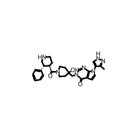 Cc1n[nH]cc1-n1ccc2c(=O)n(CC3(O)CCN(C(=O)[C@@H]4CCNC[C@H]4c4ccccc4)CC3)cnc21